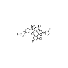 CC1(C(=O)O)CCC(n2ncc(C(=O)N(CCN3CCCC(F)C3)CC(=O)c3c(Cl)cc(F)cc3Cl)c2C(F)(F)F)CC1